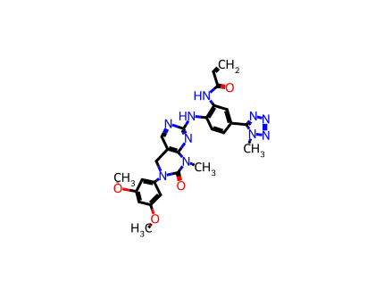 C=CC(=O)Nc1cc(-c2nnnn2C)ccc1Nc1ncc2c(n1)N(C)C(=O)N(c1cc(OC)cc(OC)c1)C2